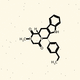 CCc1ccc([C@H]2c3[nH]c4ccccc4c3C[C@H]3C(=O)N(C)CC(=O)N23)cc1